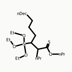 CCCCCCCCCCCCCC(C(CCC)C(=S)OCCC)[Si](OCC)(OCC)OCC